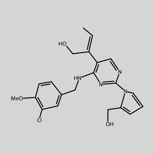 CC=C(CO)c1cnc(-n2cccc2CO)nc1NCc1ccc(OC)c(Cl)c1